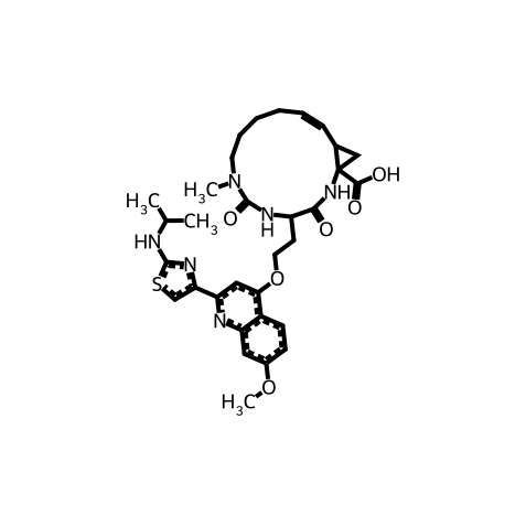 COc1ccc2c(OCCC3NC(=O)N(C)CCCCC=CC4CC4(C(=O)O)NC3=O)cc(-c3csc(NC(C)C)n3)nc2c1